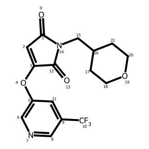 O=C1C=C(Oc2cncc(C(F)(F)F)c2)C(=O)N1CC1CCOCC1